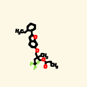 C=CC(=O)OCC(C)(COc1ccc2cc(-c3ccccc3CC)oc2c1)CC(F)(F)F